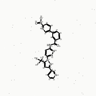 O=C(Nc1ccc(-n2nc(-c3cccnc3)cc2C(F)(F)F)nn1)c1cccc(-c2ccc([N+](=O)[O-])nc2)c1